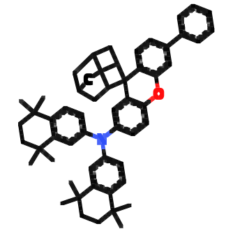 CC1(C)CCC(C)(C)c2cc(N(c3ccc4c(c3)C(C)(C)CCC4(C)C)c3ccc4c(c3)C3(c5ccc(-c6ccccc6)cc5O4)C4CC5CC6CC3C64C5)ccc21